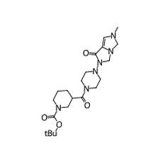 CN1C=C2C(=O)N(N3CCN(C(=O)C4CCCN(C(=O)OC(C)(C)C)C4)CC3)CN2C1